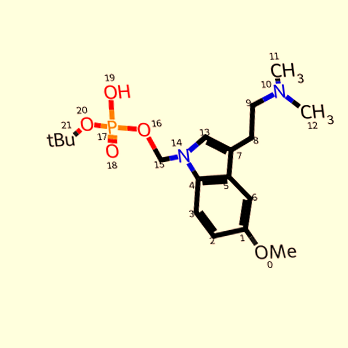 COc1ccc2c(c1)c(CCN(C)C)cn2COP(=O)(O)OC(C)(C)C